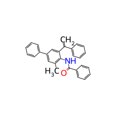 C=C(c1ccccc1)c1cc(-c2ccccc2)cc(C)c1NC(=O)c1ccccc1